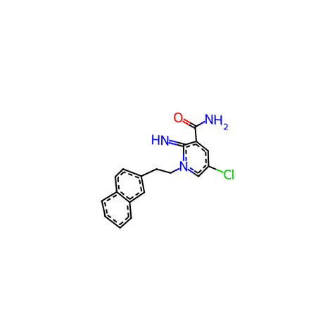 N=c1c(C(N)=O)cc(Cl)cn1CCc1ccc2ccccc2c1